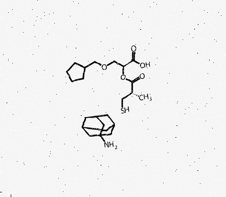 C[C@H](CS)C(=O)OC(COCC1CCCC1)C(=O)O.NC12CC3CC(CC(C3)C1)C2